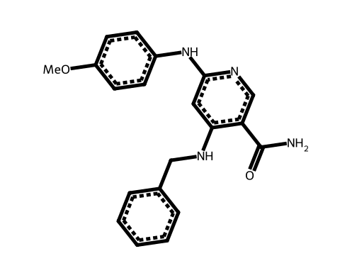 COc1ccc(Nc2cc(NCc3ccccc3)c(C(N)=O)cn2)cc1